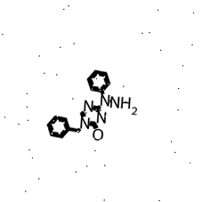 NN(c1ccccc1)c1ncn(Cc2ccccc2)c(=O)n1